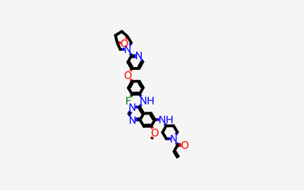 C=CC(=O)N1CCC(Nc2cc3c(Nc4ccc(Oc5ccnc(N6CC7CCC(C6)O7)c5)cc4F)ncnc3cc2OC)CC1